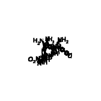 C[C@@H]1NC(=O)[C@@H](N(C)C(=O)[C@H](CCCCN)NC(=O)c2ccc(-c3ccc(Cl)cc3)cc2)c2ccc(OCCN)c(c2)-c2cc(ccc2OCCN)C[C@@H](C(=O)N[C@@H](C)C(=O)c2[nH]ncc2[N+](=O)[O-])NC1=O